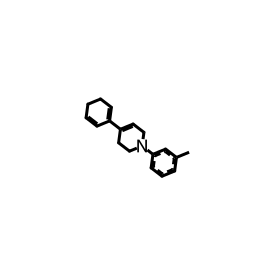 Cc1cccc(N2CC=C(C3=CCCC=C3)CC2)c1